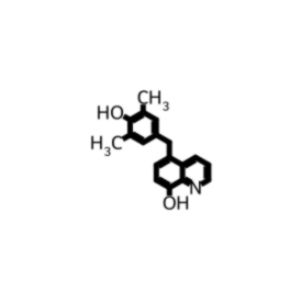 Cc1cc(Cc2ccc(O)c3ncccc23)cc(C)c1O